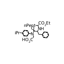 CCCCCC(NC(Cc1ccccc1)C(=O)N(CC(=O)O)c1ccc(C(C)C)cc1)C(=O)OCC